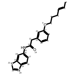 CC=CCCCOc1cccc(CC(=O)Nc2ccc3ncsc3c2)c1